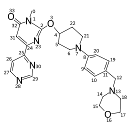 Cn1c(OC2CCN(c3ccc(CN4CCOCC4)cc3)CC2)nc(-c2ccncn2)cc1=O